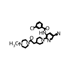 CN1CCCN(C(=O)CC2CCN(c3ncc(C#N)cc3NC(=O)c3cccc(Cl)c3)CC2)CC1